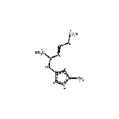 Cn1cc(NC(C=CCC(=O)O)C(=O)O)cn1